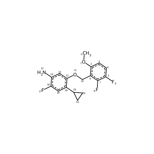 COc1ccc(F)c(F)c1COc1cc(N)c(F)cc1C1CC1